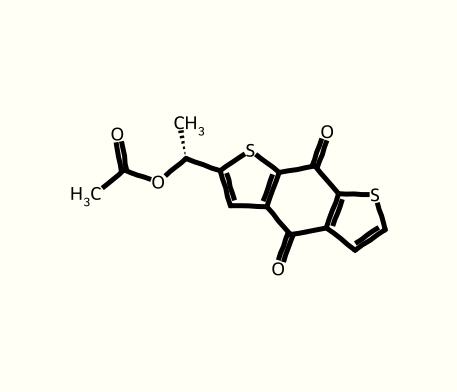 CC(=O)O[C@H](C)c1cc2c(s1)C(=O)c1sccc1C2=O